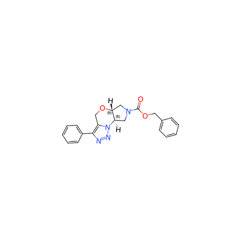 O=C(OCc1ccccc1)N1C[C@@H]2[C@@H](C1)OCc1c(-c3ccccc3)nnn12